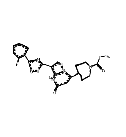 CC(C)(C)OC(=O)N1CCC(c2cc(=O)[nH]c3c(-c4noc(-c5ccccc5F)n4)cnn23)CC1